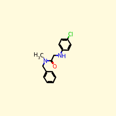 CN(Cc1ccccc1)C(=O)CNc1ccc(Cl)cc1